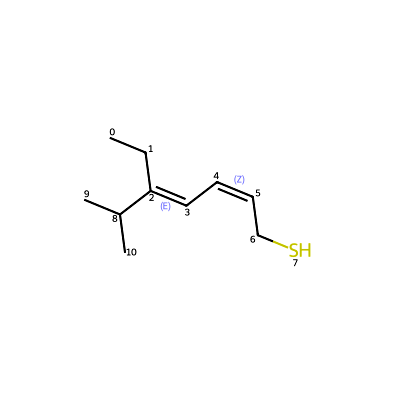 CC/C(=C\C=C/CS)C(C)C